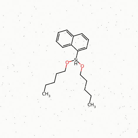 CCCCCO[SiH](OCCCCC)c1cccc2ccccc12